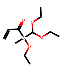 C=CC(=O)[Si](C)(OCC)C(OCC)OCC